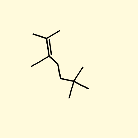 CC(C)=C(C)CCC(C)(C)C